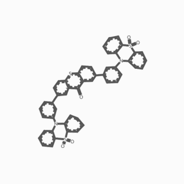 O=c1c2cc(-c3cccc(N4c5ccccc5S(=O)(=O)c5ccccc54)c3)ccc2sc2ccc(-c3cccc(N4c5ccccc5S(=O)(=O)c5ccccc54)c3)cc12